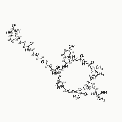 CC(C)C1NC(=O)CNC(=O)CNC(=O)C(Cc2ccc(O)cc2)NC(=O)C(NC(=O)COCCOCCOCCNC(=O)CCCC[C@H]2SCC3NC(=O)NC32)Cc2cn(nn2)CCCCC(C(N)=O)NC(=O)C(CCCNC(=N)N)NC1=O